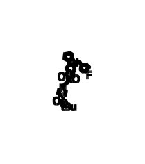 CC(C)(C)OC(=O)N1CCN(CCN2C(=O)C3Cc4c(n(Cc5ccc(F)cc5)c5ccccc45)CN3C2=O)CC1